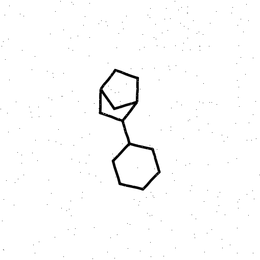 C1CC[C](C2CC3CCC2C3)CC1